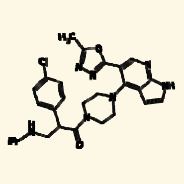 Cc1nnc(-c2cnc3[nH]ccc3c2N2CCN(C(=O)C(CNC(C)C)c3ccc(Cl)cc3)CC2)o1